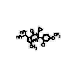 CCCC(CCC)c1cc(C)n2nc(-c3ccc(OC(F)(F)F)cc3Cl)n(C3CC3)c(=O)c12